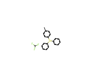 Cc1ccc([S+](c2ccccc2)c2ccccc2)cc1.FC(F)F